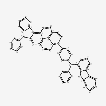 c1ccc(N(c2ccc(-c3ccc4ccc5c6c(ccc3c46)cc3c5c4ccccc4n3-c3ccccc3)cc2)c2cccc3c2sc2ccccc23)cc1